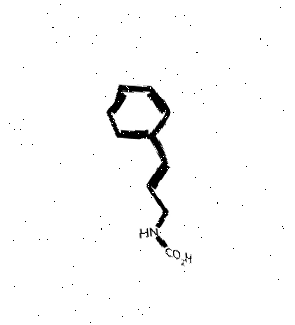 O=C(O)NC/C=C/c1ccccc1